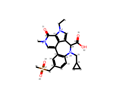 CCn1cc2c3c(cn(C)c(=O)c31)-c1cc(CS(C)(=O)=O)ccc1N(CC1CC1)C2C(=O)O